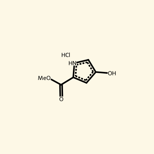 COC(=O)c1cc(O)c[nH]1.Cl